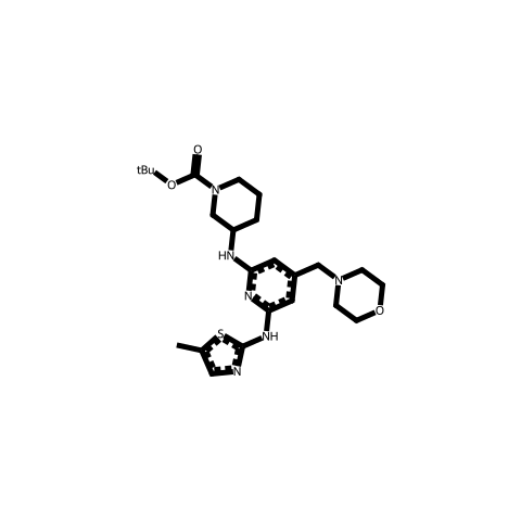 Cc1cnc(Nc2cc(CN3CCOCC3)cc(NC3CCCN(C(=O)OC(C)(C)C)C3)n2)s1